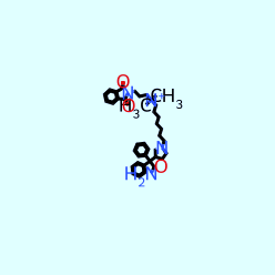 C[N+](C)(CCCCCCCN1CCC(C(C(N)=O)(c2ccccc2)c2ccccc2)C1)CCCN1C(=O)c2ccccc2C1=O